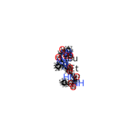 CCOCc1nc2c(NC(=O)C(C)NC(=O)C3CCCN3C(=O)OC(C)(C)C)nc3ccccc3c2n1CC(C)(C)OCCNC(=O)C(C)(C)NC(=O)OCc1ccccc1